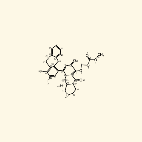 COC(=O)OCOc1c2n(c(-c3cc(F)c(F)c4c3Cc3ccccc3SC4)cc1=O)N[C@@H]1COCCN1C2=O